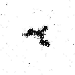 CCC(=O)NCCCCC(NC(=O)CC)C(=O)NC(CCCCNC(=O)CSCC(NC(C)=O)C(=O)NC(CCCCNC(=O)CCN1C(=O)C=CC1=O)C(=O)NC(CSCC(=O)NCCCCC(NC(=O)C(CCCCNC(C)=O)NC(C)=O)C(N)=O)C(N)=O)C(N)=O